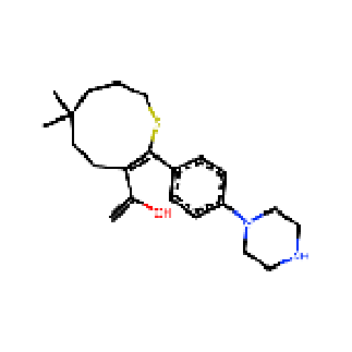 C=C(O)/C1=C(\c2ccc(N3CCNCC3)cc2)SCCCC(C)(C)CC1